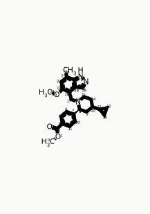 COC(=O)c1ccc([C@@H]2CC(C3CC3)CCN2Cc2c(OC)cc(C)c3[nH]ncc23)cc1